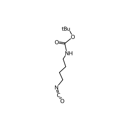 CC(C)(C)OC(=O)NCCCCN=C=O